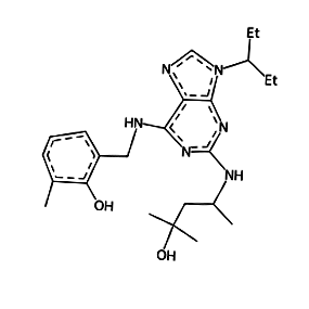 CCC(CC)n1cnc2c(NCc3cccc(C)c3O)nc(NC(C)CC(C)(C)O)nc21